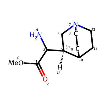 COC(=O)C(N)[C@H]1CN2CCC1CC2